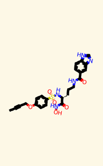 CC#CCOc1ccc(S(=O)(=O)N[C@H](CCCNC(=O)c2ccc3[nH]cnc3c2)C(=O)NO)cc1